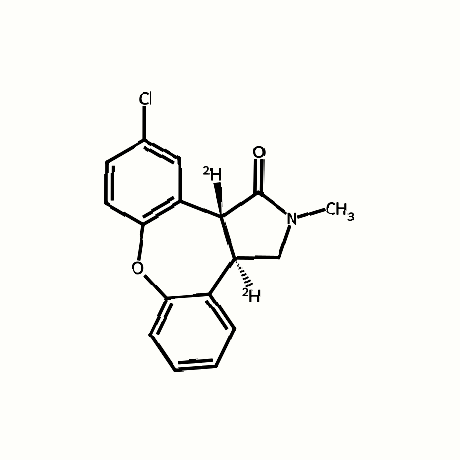 [2H][C@@]12CN(C)C(=O)[C@@]1([2H])c1cc(Cl)ccc1Oc1ccccc12